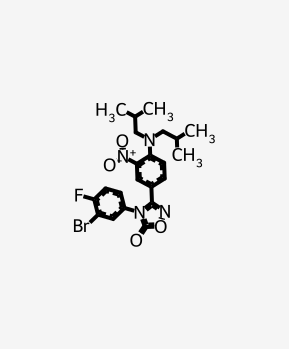 CC(C)CN(CC(C)C)c1ccc(-c2noc(=O)n2-c2ccc(F)c(Br)c2)cc1[N+](=O)[O-]